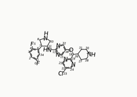 Fc1ccc(F)c(C2CNCC2Nc2ncc(OC(c3ncc(Cl)cn3)C3CCNCC3)cn2)c1